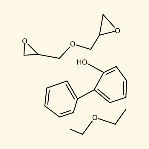 C(OCC1CO1)C1CO1.CCOCC.Oc1ccccc1-c1ccccc1